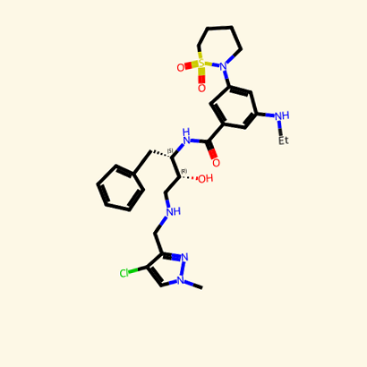 CCNc1cc(C(=O)N[C@@H](Cc2ccccc2)[C@H](O)CNCc2nn(C)cc2Cl)cc(N2CCCCS2(=O)=O)c1